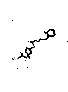 CSC(=O)NC1(C)C=C(OC(=O)CCCCC2=CC=CCC2C)CC1